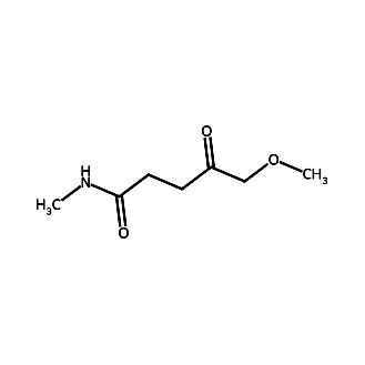 CNC(=O)CCC(=O)COC